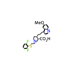 COc1ccc2nccc(CCC[C@@H]3CCN(CCSc4c(F)cccc4F)C[C@@H]3C(=O)O)c2c1